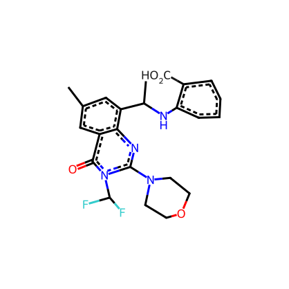 Cc1cc(C(C)Nc2ccccc2C(=O)O)c2nc(N3CCOCC3)n(C(F)F)c(=O)c2c1